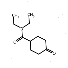 CCN(CC)C(=O)C1CCC(=O)CC1